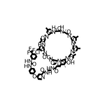 CC[C@@H]1NC(=O)[C@H]([C@H](O)[C@H](C)CCCC(=O)NCCNC(=O)c2cc(Oc3ccc(NC(=O)Nc4ccc(Cl)c(C(F)(F)F)c4)cc3)ccn2)N(C)C(=O)[C@H](C(C)C)N(C)C(=O)[C@H](CC(C)C)N(C)C(=O)[C@H](CC(C)C)N(C)C(=O)[C@@H](C)NC(=O)[C@H](C)NC(=O)[C@H](CC(C)C)N(C)C(=O)[C@H](C(C)C)NC(=O)[C@H](CC(C)C)N(C)C(=O)CN(C)C1=O